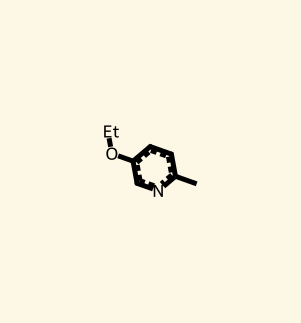 CCOc1ccc(C)nc1